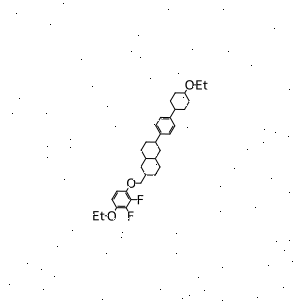 CCOc1ccc(OCC2CCC3CC(c4ccc(C5CCC(OCC)CC5)cc4)CCC3C2)c(F)c1F